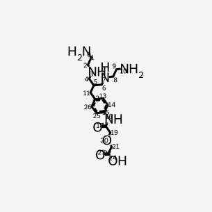 NCCNCC(CNCCN)Cc1ccc(NC(=O)COCC(=O)O)cc1